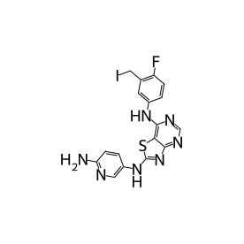 Nc1ccc(Nc2nc3ncnc(Nc4ccc(F)c(CI)c4)c3s2)cn1